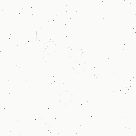 COc1cc2ncnc(Oc3cnc4c(c3)CCN4)c2cc1OCc1ccccc1